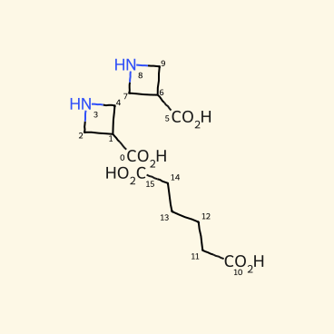 O=C(O)C1CNC1.O=C(O)C1CNC1.O=C(O)CCCCC(=O)O